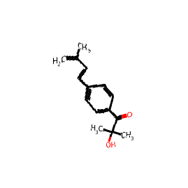 C=C(C)C=Cc1ccc(C(=O)C(C)(C)O)cc1